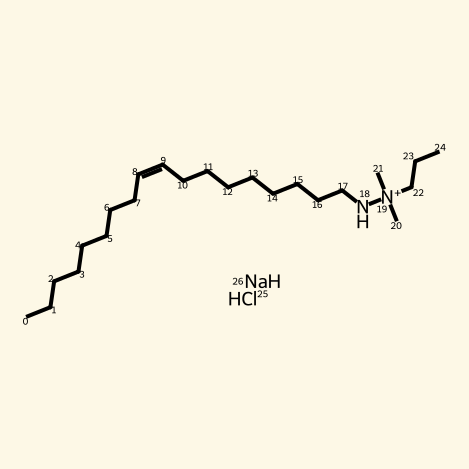 CCCCCCCC/C=C\CCCCCCCCN[N+](C)(C)CCC.Cl.[NaH]